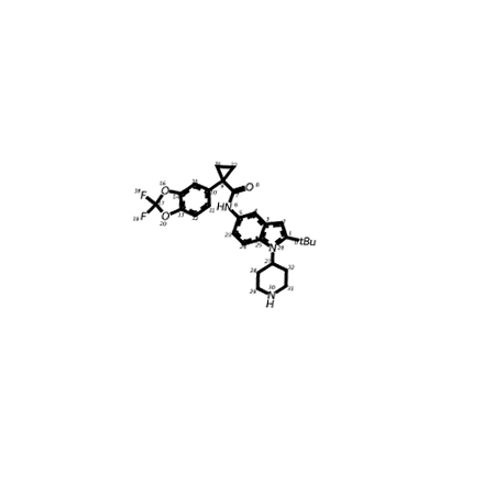 CC(C)(C)c1cc2cc(NC(=O)C3(c4ccc5c(c4)OC(F)(F)O5)CC3)ccc2n1C1CCNCC1